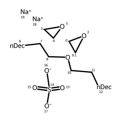 C1CO1.C1CO1.CCCCCCCCCCCCOCCCCCCCCCCCC.O=S(=O)([O-])[O-].[Na+].[Na+]